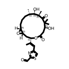 CC(=Cc1csc(C=O)n1)[C@@H]1C[C@@H]2O[C@@H]2CCC[C@H](C)[C@H](O)[C@@H](C)C(=O)C(C)(C)[C@@H](O)CC(=O)O1